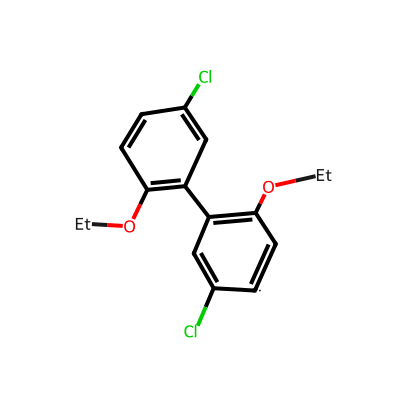 CCOc1c[c]c(Cl)cc1-c1cc(Cl)ccc1OCC